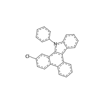 Clc1ccc2c3ccccc3c3c4ccccc4n(-c4ccccc4)c3c2c1